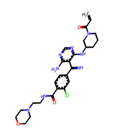 C=CC(=O)N1CCCC(Nc2ncnc(N)c2C(=N)c2ccc(C(=O)NCCN3CCOCC3)c(Cl)c2)C1